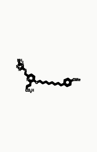 COc1ccc(CCCCCCCCOc2ccc(CSc3nnc(N)s3)nc2C=CC(=O)O)cc1